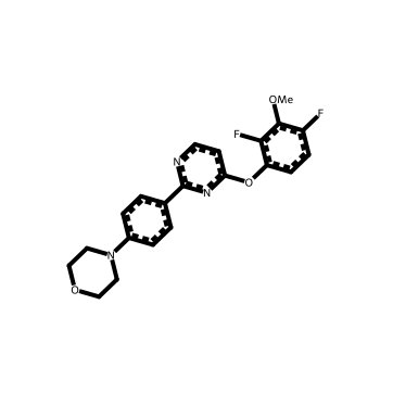 COc1c(F)ccc(Oc2ccnc(-c3ccc(N4CCOCC4)cc3)n2)c1F